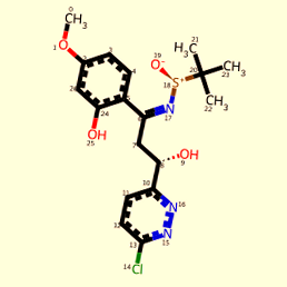 COc1ccc(C(C[C@H](O)c2ccc(Cl)nn2)=N[S@@+]([O-])C(C)(C)C)c(O)c1